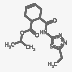 CCc1nnc(NC(=O)C2CC=CCC2C(=O)OC(C)C)s1